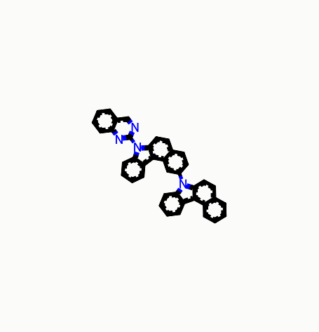 c1ccc2nc(-n3c4ccccc4c4c5cc(-n6c7ccccc7c7c8ccccc8ccc76)ccc5ccc43)ncc2c1